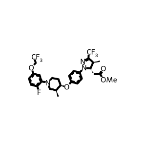 COC(=O)C[C@H]1[C@H](C)C(C(F)(F)F)=NN1c1ccc(O[C@@H]2CCN(c3cc(OCC(F)(F)F)ccc3F)C[C@@H]2C)cc1